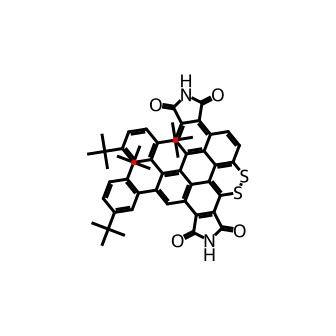 CC(C)(C)c1ccc(C(C)(C)C)c(-c2cc3c4c(=O)[nH]c(=O)c4c4ssc5ccc6c7c(=O)[nH]c(=O)c7cc7c(c2-c2cc(C(C)(C)C)ccc2C(C)(C)C)c3c4c5c76)c1